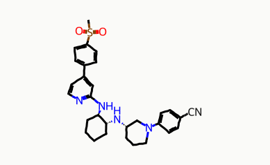 CS(=O)(=O)c1ccc(-c2ccnc(N[C@@H]3CCCC[C@H]3N[C@H]3CCCN(c4ccc(C#N)cc4)C3)c2)cc1